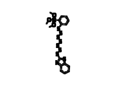 CO[Si](OC)(OC)c1ccccc1SSSSSSSc1nc2ccccc2s1